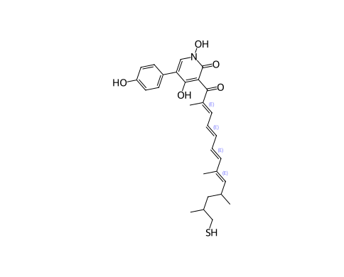 CC(/C=C/C=C/C=C(\C)C(=O)c1c(O)c(-c2ccc(O)cc2)cn(O)c1=O)=C\C(C)CC(C)CS